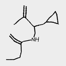 C=C(CC)NC(C(=C)C)C1CC1